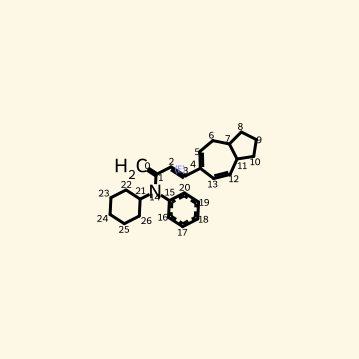 C=C(/C=C/C1=CCC2CCCC2C=C1)N(c1ccccc1)C1CCCCC1